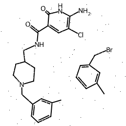 Cc1cccc(CBr)c1.Cc1cccc(CN2CCC(CNC(=O)c3cc(Cl)c(N)[nH]c3=O)CC2)c1